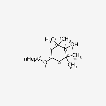 CCCCCCCOC1CC(C)(C)N(O)C(C)(C)C1